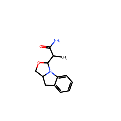 CC(C(N)=O)C1OCC2Cc3ccccc3N21